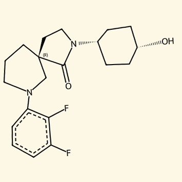 O=C1N([C@H]2CC[C@@H](O)CC2)CC[C@@]12CCCN(c1cccc(F)c1F)C2